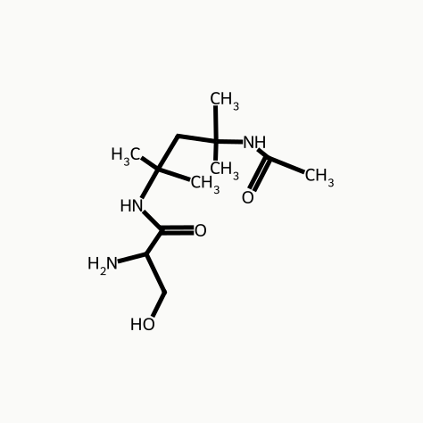 CC(=O)NC(C)(C)CC(C)(C)NC(=O)C(N)CO